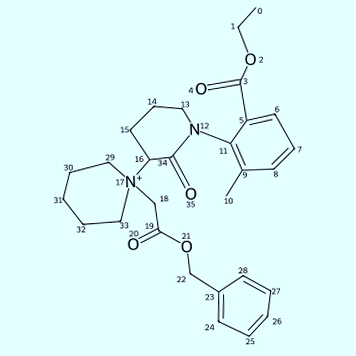 CCOC(=O)c1cccc(C)c1N1CCCC([N+]2(CC(=O)OCc3ccccc3)CCCCC2)C1=O